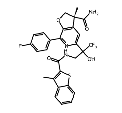 Cc1c(C(=O)NCC(O)(c2cc3c(c(-c4ccc(F)cc4)n2)OC[C@]3(C)C(N)=O)C(F)(F)F)sc2ccccc12